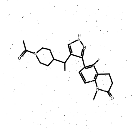 CC(=O)N1CCC(C(C)c2c[nH]nc2-c2ccc3c(c2F)CCC(=O)N3C)CC1